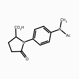 CC(=O)N(C)c1ccc(N2C(=O)CCC2C(=O)O)cc1